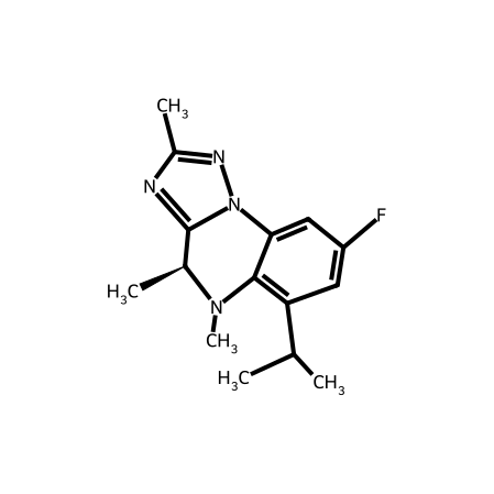 Cc1nc2n(n1)-c1cc(F)cc(C(C)C)c1N(C)[C@H]2C